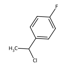 CC(Cl)c1ccc(F)cc1